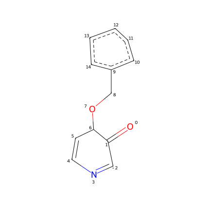 O=C1[C]=NC=CC1OCc1ccccc1